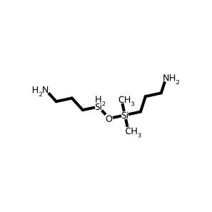 C[Si](C)(CCCN)O[SiH2]CCCN